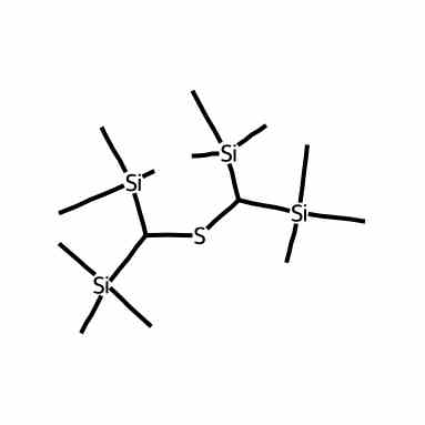 C[Si](C)(C)C(SC([Si](C)(C)C)[Si](C)(C)C)[Si](C)(C)C